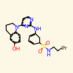 CC(C)CCNS(=O)(=O)C1C=CC=C(Nc2nccc(N3CCCc4cc(O)ccc43)n2)C1